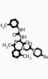 CC(=O)C1CCN(C(=O)CN2C(=O)C(NC(=O)Nc3cccc(C)c3)N=C(C)c3cccc(C)c32)CC1